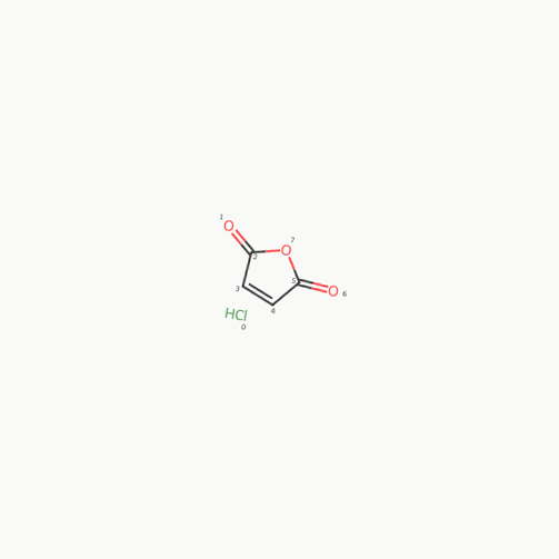 Cl.O=C1C=CC(=O)O1